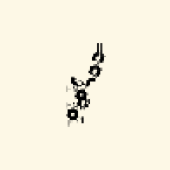 C=CC(=O)Nc1cc2c(Nc3ccc(F)c(Cl)c3)ncnc2cc1OCCCN1CCC(N2CCNCC2)CC1